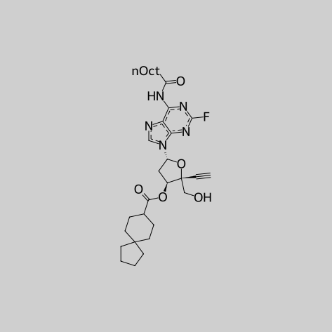 C#C[C@]1(CO)O[C@@H](n2cnc3c(NC(=O)CCCCCCCC)nc(F)nc32)C[C@@H]1OC(=O)C1CCC2(CCCC2)CC1